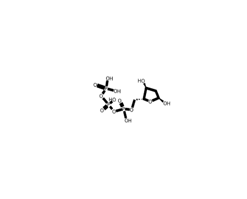 O=P(O)(O)OP(=O)(O)OP(=O)(O)OC[C@H]1O[C@H](O)C[C@@H]1O